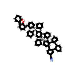 N#Cc1ccc2c(c1)-c1ccccc1-c1ccccc1-c1cc([Si](c3ccccc3)(c3ccccc3)c3ccc([Si](c4ccccc4)(c4ccccc4)c4cccc(-c5cccc6c5oc5ccccc56)c4)cc3)ccc1-2